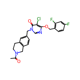 CC(=O)N1CCc2cc(Cn3cnc(OCc4ccc(F)cc4F)c(Cl)c3=O)ccc2C1